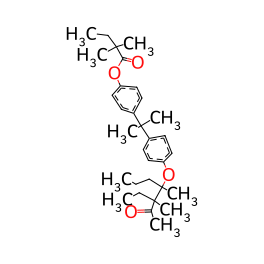 CCCC(C)(Oc1ccc(C(C)(C)c2ccc(OC(=O)C(C)(C)CC)cc2)cc1)C(C)(CC)C(C)=O